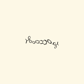 C=C(C)C(=O)OCOc1ccc2cc3cc(OCOC(=O)C(=C)C)ccc3cc2c1